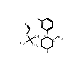 CC(C)(C)OC=O.N[C@@H]1CNCC[C@H]1c1cccc(F)c1